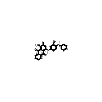 Cc1cc(Nc2ccc(Nc3ccccc3)c(S)c2)c2c(c1N)C(=O)c1ccccc1C2=O